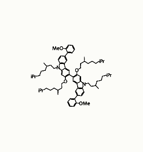 COc1ccccc1-c1ccc2c(c1)c1cc(-c3cc4c5cc(-c6ccccc6OC)ccc5n(CCC(C)CCCC(C)C)c4cc3OCCC(C)CCCC(C)C)c(OCCC(C)CCCC(C)C)cc1n2CCC(C)CCCC(C)C